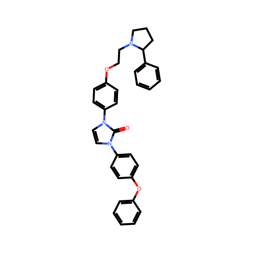 O=c1n(-c2ccc(OCCN3CCCC3c3ccccc3)cc2)ccn1-c1ccc(Oc2ccccc2)cc1